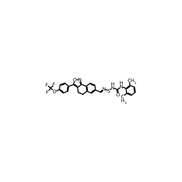 Cc1cccc(C)c1NC(=O)NS/N=C/c1ccc2c(c1)CCc1c-2noc1-c1ccc(OC(F)(F)F)cc1